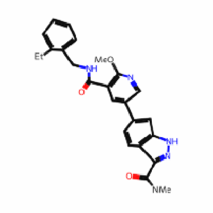 CCc1ccccc1CNC(=O)c1cc(-c2ccc3c(C(=O)NC)n[nH]c3c2)cnc1OC